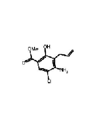 C=CCc1c(N)c(Cl)cc(C(=O)OC)c1O